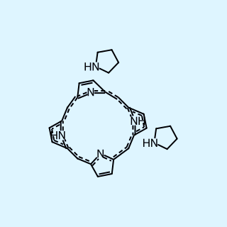 C1=Cc2cc3ccc(cc4nc(cc5ccc(cc1n2)[nH]5)C=C4)[nH]3.C1CCNC1.C1CCNC1